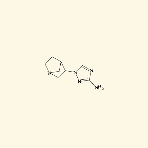 Nc1ncn(C2CN3CCC2C3)n1